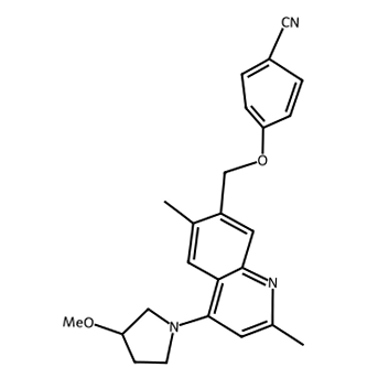 COC1CCN(c2cc(C)nc3cc(COc4ccc(C#N)cc4)c(C)cc23)C1